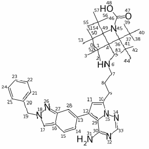 CC(C)(C)C1(CNCCCc2cc(-c3ccc4cn(Cc5ccccc5)nc4c3)c3c(N)ncnn23)C(C(C)(C)C)(C(C)(C)C)N(C(=O)O)C1(C(C)(C)C)C(C)(C)C